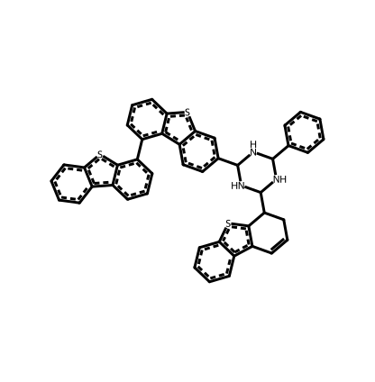 C1=Cc2c(sc3ccccc23)C(C2NC(c3ccccc3)NC(c3ccc4c(c3)sc3cccc(-c5cccc6c5sc5ccccc56)c34)N2)C1